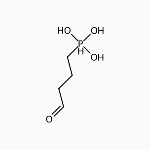 O=CCCC[PH](O)(O)O